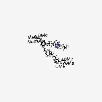 COc1cc(-c2cc(CCCN3CCCN(CCCc4ccnc(-c5cc(OC)c(OC)c(OC)c5)c4)CC3)ccn2)cc(OC)c1OC.O=C(O)/C=C/C(=O)O.O=C(O)/C=C/C(=O)O